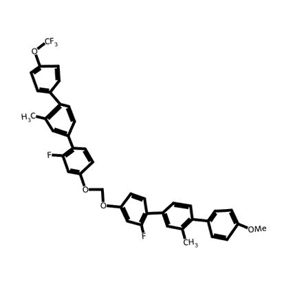 COc1ccc(-c2ccc(-c3ccc(OCOc4ccc(-c5ccc(-c6ccc(OC(F)(F)F)cc6)c(C)c5)c(F)c4)cc3F)cc2C)cc1